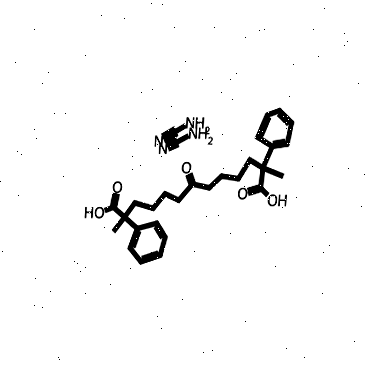 CC(CCCCC(=O)CCCCC(C)(C(=O)O)c1ccccc1)(C(=O)O)c1ccccc1.N#CN.N#CN